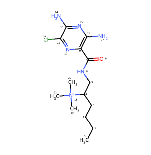 CCCCC(CNC(=O)c1nc(Cl)c(N)nc1N)[N+](C)(C)C